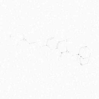 CC(C)NCCCc1ccc(Cl)c(C(=O)NCC23CC4CC(CC(C4)C2)C3)c1